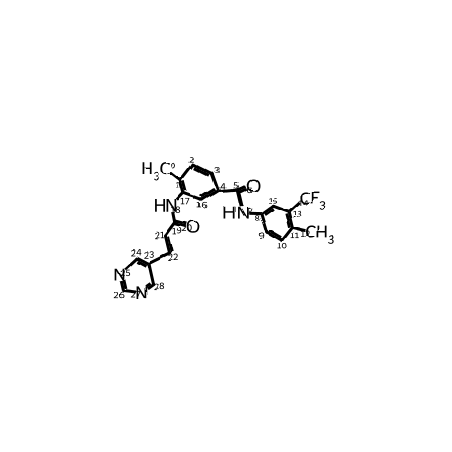 Cc1ccc(C(=O)Nc2ccc(C)c(C(F)(F)F)c2)cc1NC(=O)C=Cc1cncnc1